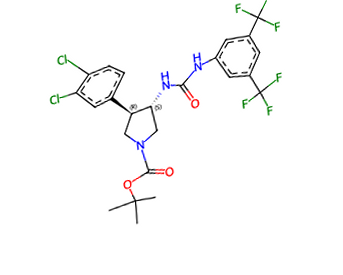 CC(C)(C)OC(=O)N1C[C@@H](NC(=O)Nc2cc(C(F)(F)F)cc(C(F)(F)F)c2)[C@H](c2ccc(Cl)c(Cl)c2)C1